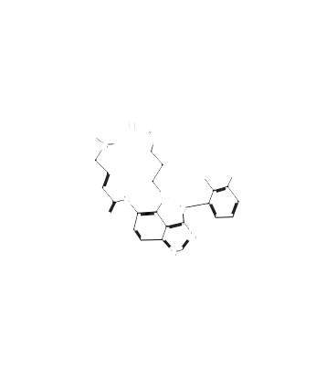 COCCCOc1c(NC(=O)/C=C/CN(C)C)ccc2ncnc(Nc3cccc(Cl)c3F)c12